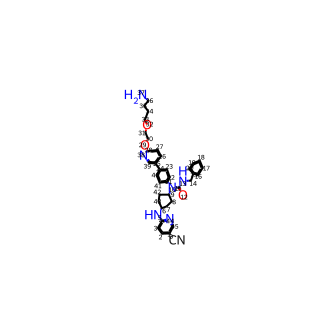 N#Cc1ccc(NC2CCC(N(C(=O)NCc3ccccc3)c3ccc(-c4ccc(OCCOCCCCN)nc4)cc3)CC2)nc1